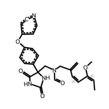 C=C(/C=C\C(=C/C)OC)CN(C=O)CC1(c2ccc(Oc3ccncc3)cc2)NC(=O)NC1=O